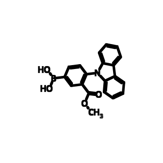 COC(=O)c1cc(B(O)O)ccc1-n1c2ccccc2c2ccccc21